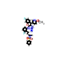 COc1ccc([C@H](c2ccc(F)cc2)[C@H](N=[N+]=[N-])C(=O)Nc2cccc(F)c2CC[C@H]2CN2S(=O)(=O)c2ccccc2)cn1